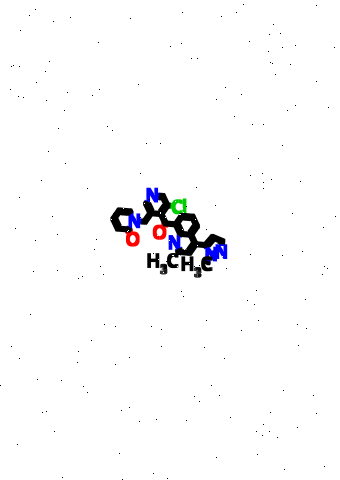 Cc1cc(-c2ccnn2C)c2cccc(C(=O)c3c(Cl)cncc3Cn3ccccc3=O)c2n1